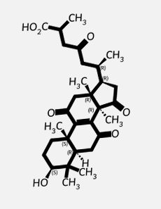 CC(CC(=O)C[C@@H](C)[C@H]1CC(=O)[C@@]2(C)C3=C(C(=O)C[C@]12C)[C@@]1(C)CC[C@H](O)C(C)(C)[C@@H]1CC3=O)C(=O)O